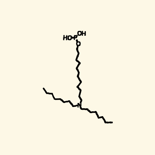 CCCCCCCCN(CCCCCCCC)CCCCCCCCCCCCOP(O)O